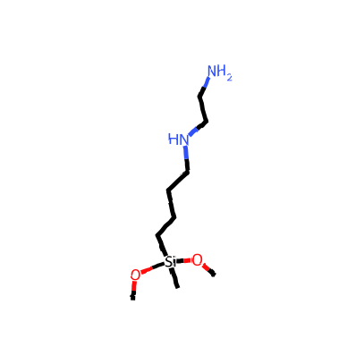 CO[Si](C)(CCCCNCCN)OC